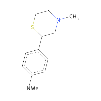 CNc1ccc(C2CN(C)CCS2)cc1